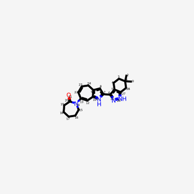 CC1(C)CCc2c(-c3cc4c([nH]3)C=C(N3CCCCCC3=O)C=CC4)n[nH]c2C1